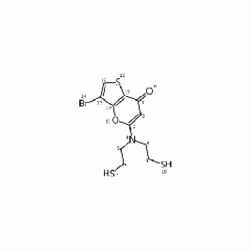 O=c1cc(N(CCS)CCS)oc2c(Br)csc12